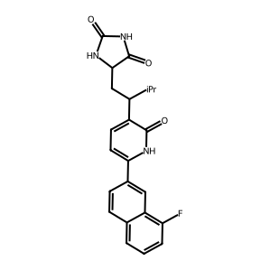 CC(C)C(CC1NC(=O)NC1=O)c1ccc(-c2ccc3cccc(F)c3c2)[nH]c1=O